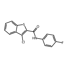 O=C(Nc1ccc(F)cc1)c1sc2ccccc2c1Cl